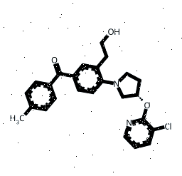 Cc1ccc(C(=O)c2ccc(N3CC[C@H](Oc4ncccc4Cl)C3)c(CCO)c2)cc1